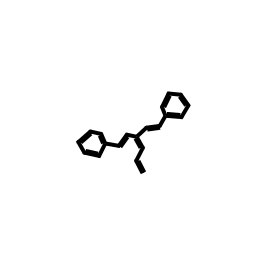 C=CC=C(C=Cc1ccccc1)C=Cc1ccccc1